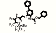 CC(C)C(NC(=O)COc1nc(-c2ccccc2)ccc1NC(=O)OCc1ccccc1)C(O[Si](C)(C)C(C)(C)C)C(F)(F)F